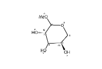 COC1OC[C@@H](O)C(O)[C@@H]1O